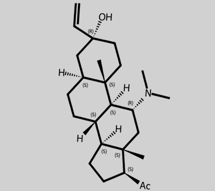 C=C[C@@]1(O)CC[C@@]2(C)[C@@H](CC[C@@H]3[C@@H]2[C@H](N(C)C)C[C@]2(C)[C@@H](C(C)=O)CC[C@@H]32)C1